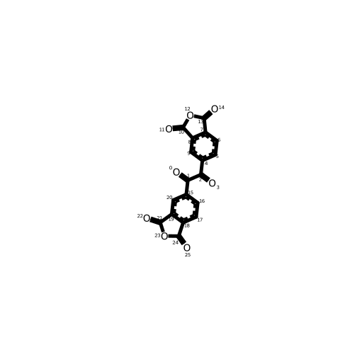 O=C(C(=O)c1ccc2c(c1)C(=O)OC2=O)c1ccc2c(c1)C(=O)OC2=O